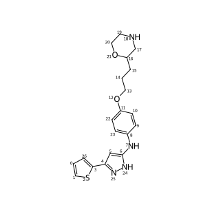 c1csc(-c2cc(Nc3ccc(OCCCC4CNCCO4)cc3)[nH]n2)c1